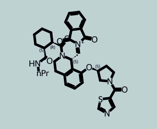 CCCNC(=O)[C@H]1CCCC[C@H]1C(=O)N1CCc2cccc(O[C@H]3CCN(C(=O)c4cncs4)C3)c2[C@H]1C=[N+]1C(=O)c2ccccc2C1=O